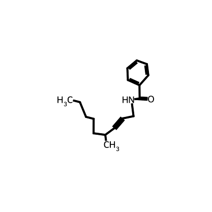 CCCCCC(C)C#CCNC(=O)c1ccccc1